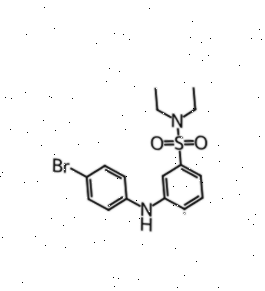 CCN(CC)S(=O)(=O)c1cc[c]c(Nc2ccc(Br)cc2)c1